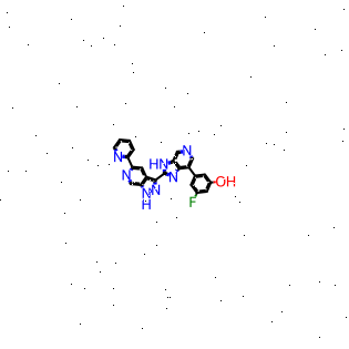 Oc1cc(F)cc(-c2cncc3[nH]c(-c4n[nH]c5cnc(-c6ccccn6)cc45)nc23)c1